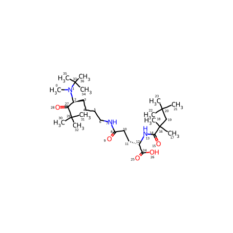 CN([C@@H](CCCCNC(=O)CC[C@H](NC(=O)C(C)(C)CC(C)(C)C)C(=O)O)C(=O)C(C)(C)C)C(C)(C)C